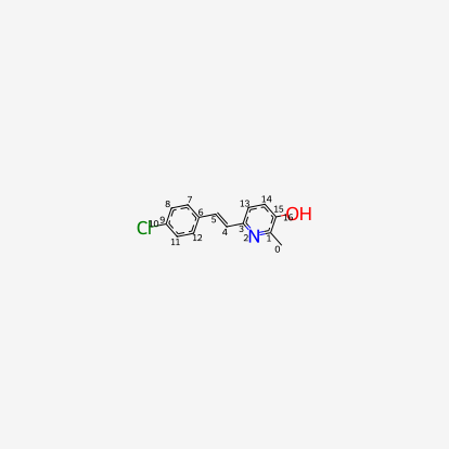 Cc1nc(C=Cc2ccc(Cl)cc2)ccc1O